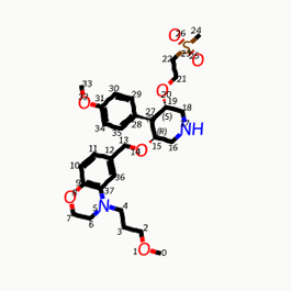 COCCCN1CCOc2ccc(CO[C@H]3CNC[C@@H](OCCS(C)(=O)=O)[C@@H]3c3ccc(OC)cc3)cc21